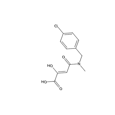 CN(Cc1ccc(Cl)cc1)C(=O)C=C(O)C(=O)O